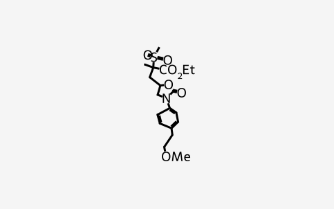 CCOC(=O)C(C)(CC1CN(c2ccc(CCOC)cc2)C(=O)O1)S(C)(=O)=O